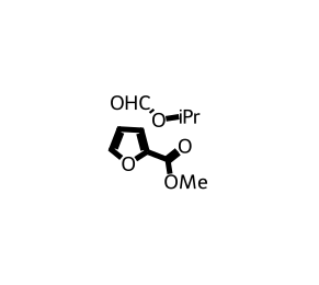 CC(C)OC=O.COC(=O)c1ccco1